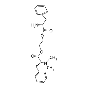 CN(C)[C@@H](Cc1ccccc1)C(=O)O[CH]COC(=O)[C@@H](N)Cc1ccccc1